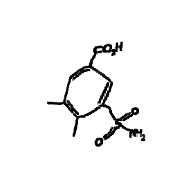 Cc1cc(C(=O)O)cc(S(N)(=O)=O)c1C